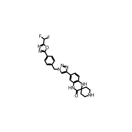 O=C1Nc2cc(-c3cn(Cc4ccc(-c5nnc(C(F)F)o5)cc4)nn3)ccc2NC12CCNCC2